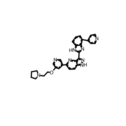 c1cc(-c2ccncc2)c2nc(-c3n[nH]c4ccc(-c5cncc(OCCN6CCCC6)c5)nc34)[nH]c2c1